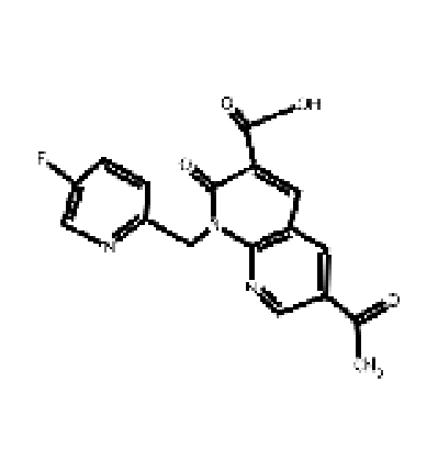 CC(=O)c1cnc2c(c1)cc(C(=O)O)c(=O)n2Cc1ccc(F)cn1